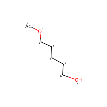 CC(=O)OCC[CH]CCO